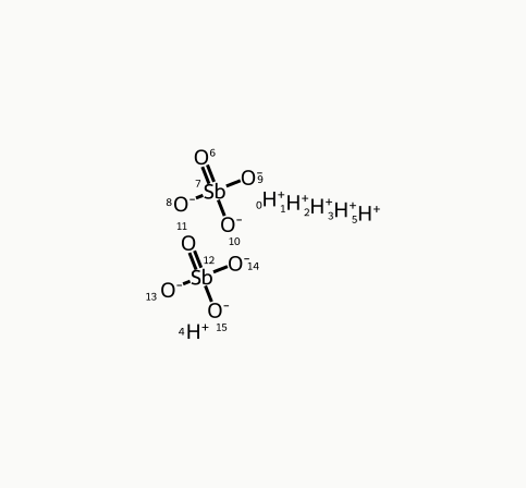 [H+].[H+].[H+].[H+].[H+].[H+].[O]=[Sb]([O-])([O-])[O-].[O]=[Sb]([O-])([O-])[O-]